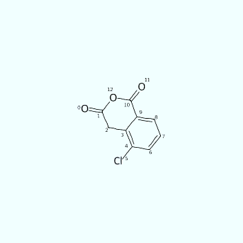 O=C1Cc2c(Cl)cccc2C(=O)O1